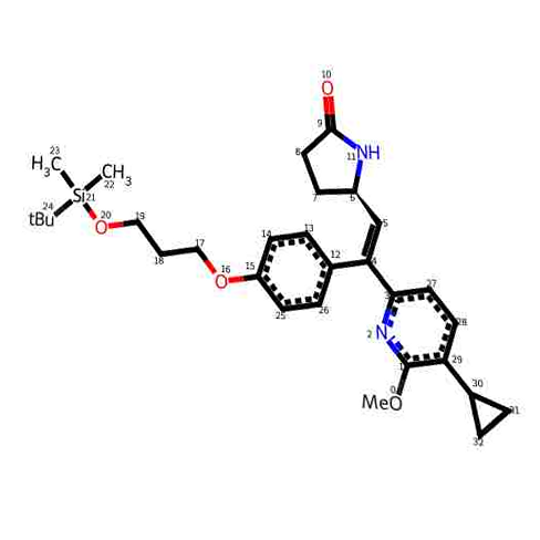 COc1nc(C(=C[C@H]2CCC(=O)N2)c2ccc(OCCCO[Si](C)(C)C(C)(C)C)cc2)ccc1C1CC1